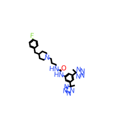 CC1(c2cc(NC(=O)NCCCN3CCC(Cc4ccc(F)cc4)CC3)cc(C3(C)N=NN=N3)c2)N=NN=N1